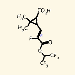 CC1(C)C(/C=C(\F)C(=O)OC(C(F)(F)F)C(F)(F)F)C1C(=O)O